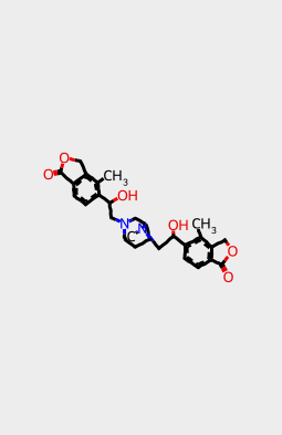 Cc1c(C(O)CN2CC3CCC2CN3CC(O)c2ccc3c(c2C)COC3=O)ccc2c1COC2=O